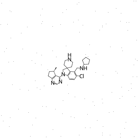 C[C@@H]1CCc2ncnc(N3CC4(CCNCC4)c4c3ccc(Cl)c4CNC3CCCC3)c21